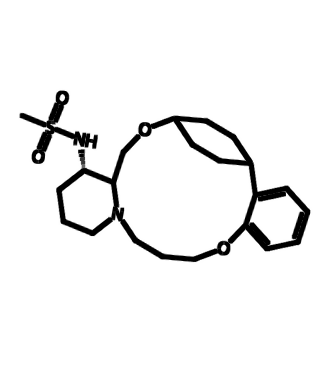 CS(=O)(=O)N[C@H]1CCCN2CCCOc3ccccc3C3CCC(CC3)OCC12